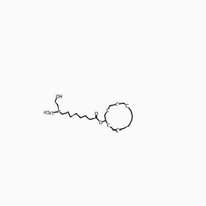 CCCCCCCCN(CCO)CCCCCCCC(=O)OC1CCCCCCCCCCCCCC1